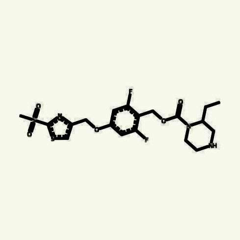 CCC1CNCCN1C(=O)OCc1c(F)cc(OCc2csc(S(C)(=O)=O)n2)cc1F